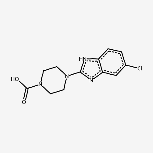 O=C(O)N1CCN(c2nc3cc(Cl)ccc3[nH]2)CC1